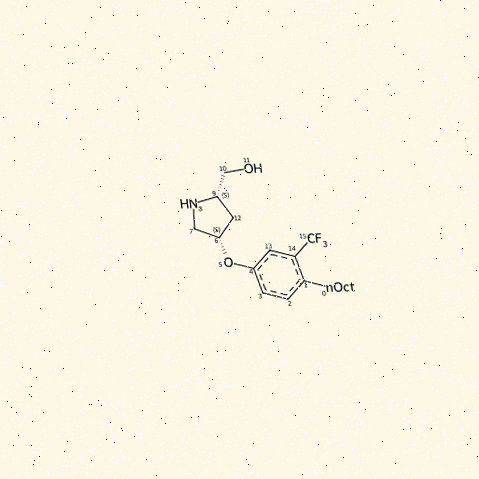 CCCCCCCCc1ccc(O[C@@H]2CN[C@H](CO)C2)cc1C(F)(F)F